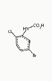 O=C(O)Nc1cc(Br)ccc1Cl